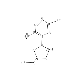 FCC1CNC(c2cc(F)ccc2P)C1